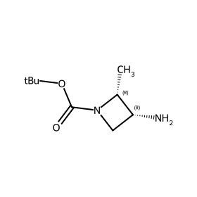 C[C@@H]1[C@H](N)CN1C(=O)OC(C)(C)C